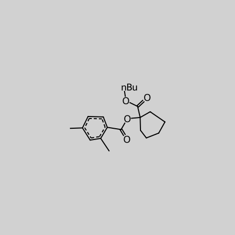 CCCCOC(=O)C1(OC(=O)c2ccc(C)cc2C)CCCCC1